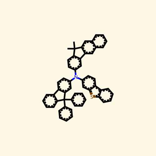 CC1(C)c2ccc(N(c3ccc4c(c3)C(c3ccccc3)(c3ccccc3)c3ccccc3-4)c3ccc4c(c3)sc3ccccc34)cc2-c2cc3ccccc3cc21